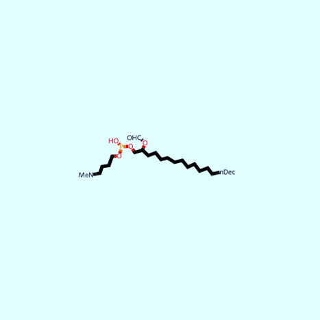 CCCCCCCCCCCCCCCCCCCCCC(COP(O)OCCCCNC)OC=O